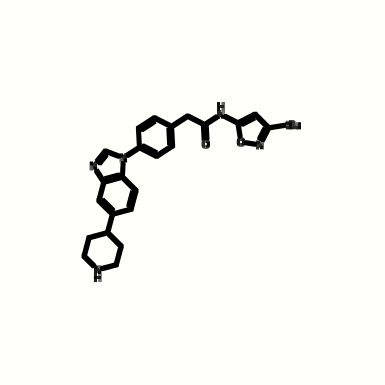 CC(C)(C)c1cc(NC(=O)Cc2ccc(-n3cnc4cc(C5CCNCC5)ccc43)cc2)on1